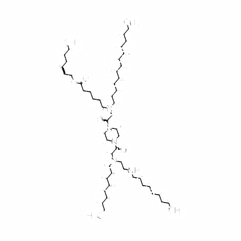 CCCC/C=C\COC(=O)CCCCCN(CCCCCCCCCCCCCC)CC(=O)N1CCN(C(=O)CN(CCCCCCCCC)CCNCCCCCCCCC)CC1